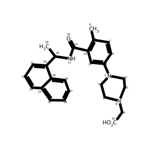 Cc1ccc(N2CCN(CC(=O)O)CC2)cc1C(=O)NC(C)c1cccc2ccccc12